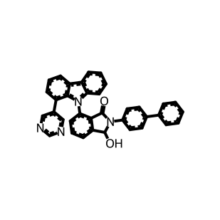 O=C1c2c(cccc2-n2c3ccccc3c3cccc(-c4cncnc4)c32)C(O)N1c1ccc(-c2ccccc2)cc1